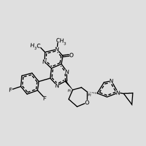 Cc1nc2c(-c3ccc(F)cc3F)nc([C@@H]3CCO[C@@H](c4cnn(C5CC5)c4)C3)nc2c(=O)n1C